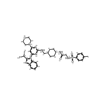 Cc1ccc(S(=O)(=O)NCC(=O)N[C@H]2CC[C@H](CNc3nc(N4CCOCC4)cc(-n4c(C(F)F)nc5ccccc54)n3)CC2)cc1